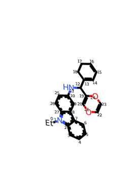 CCn1c2ccccc2c2cc(NC(C3=CC=CCC3)C3=COC=CO3)ccc21